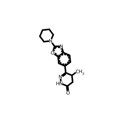 CC1CC(=O)NN=C1c1ccc2nc(N3CCCCC3)oc2c1